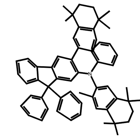 Cc1cc2c(cc1N(c1ccccc1)c1cc3c(cc1-c1ccc4c(c1)C(C)(C)CCC4(C)C)-c1ccccc1C3(c1ccccc1)c1ccccc1)C(C)(C)CCC2(C)C